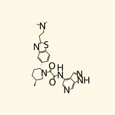 C[C@H]1CC[C@H](c2ccc3sc(CCN(C)C)nc3c2)N(C(=O)C(=O)Nc2cncc3[nH]ncc23)C1